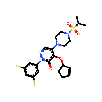 CC(C)S(=O)(=O)N1CCN(c2cnn(-c3cc(F)cc(F)c3)c(=O)c2OC2C=CCC2)CC1